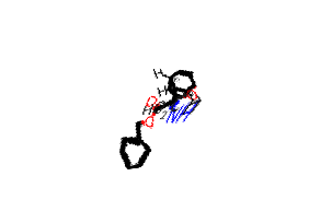 N=C(C(=O)OCc1ccccc1)[C@H]1[C@H]2C=CC(OCC2)[C@@H]1C(=O)O